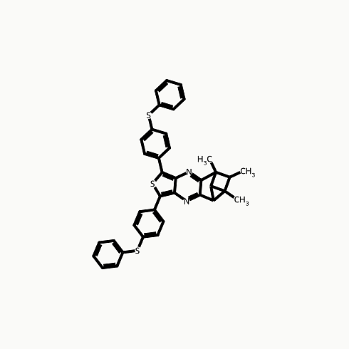 CC1C2(C)c3nc4c(-c5ccc(Sc6ccccc6)cc5)sc(-c5ccc(Sc6ccccc6)cc5)c4nc3C3C2C31C